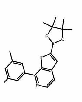 Cc1cc(C)cc(-c2nccc3cc(B4OC(C)(C)C(C)(C)O4)sc23)c1